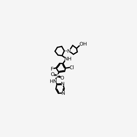 O=S(=O)(Nc1ccncn1)c1cc(Cl)c(NC2CCCC[C@@H]2N2CCC(O)C2)cc1F